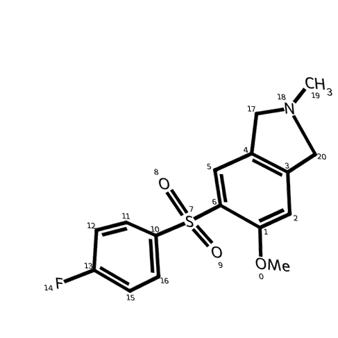 COc1cc2c(cc1S(=O)(=O)c1ccc(F)cc1)CN(C)C2